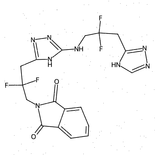 O=C1c2ccccc2C(=O)N1CC(F)(F)Cc1nnc(NCC(F)(F)Cc2nnc[nH]2)[nH]1